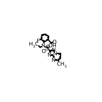 CCN(c1c(F)cccc1C(=O)O)S(=O)(=O)c1nc2nc(C)ccn2n1